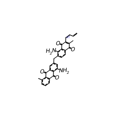 C=C/C=C\C1=C(C)C(=O)c2ccc(Cc3cc(N)c4c(c3)C(=O)c3c(C)cccc3C4=O)c(N)c2C1=O